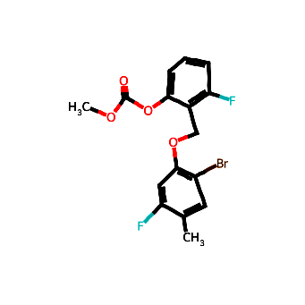 COC(=O)Oc1cccc(F)c1COc1cc(F)c(C)cc1Br